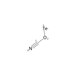 N#CO[Te]